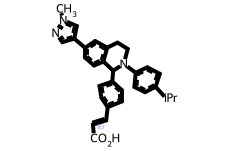 CC(C)c1ccc(N2CCc3cc(-c4cnn(C)c4)ccc3C2c2ccc(/C=C/C(=O)O)cc2)cc1